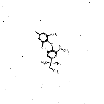 CNc1cc(C(C)(C)OC)ccc1Oc1c(C)cc(F)cc1C